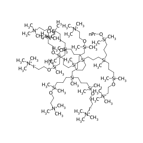 CCCO[Si](C)(C)CCC[Si](C)(CCC[Si](CCC[Si](C)(CCC[Si](C)(C)OCC[I-][N+](C)(C)C)CCC[Si](C)(C)OCC[N+](C)(C)C)(CCC[Si](C)(CCC[Si](C)(C)OCC[I-][N+](C)(C)C)CCC[Si](C)(C)OCC[N+](C)(C)C)CCC[Si](C)(CCC[Si](C)(C)OCC[N+](C)(C)C)CCC[Si](C)(C)OCC[N+](C)(C)C)CCC[Si](C)(C)OCC[N+](C)(C)C